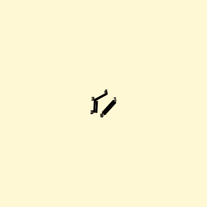 C=C.C=CC